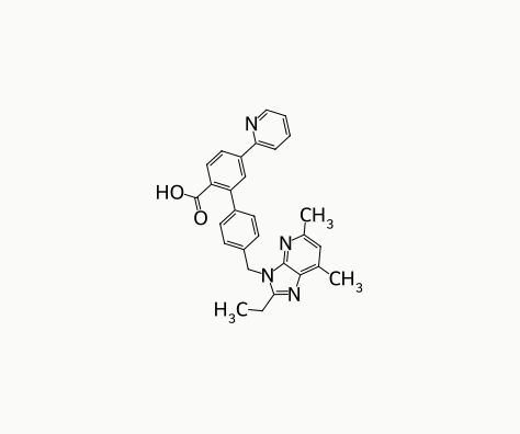 CCc1nc2c(C)cc(C)nc2n1Cc1ccc(-c2cc(-c3ccccn3)ccc2C(=O)O)cc1